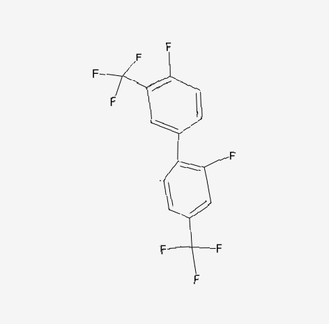 Fc1cc(C(F)(F)F)c[c]c1-c1ccc(F)c(C(F)(F)F)c1